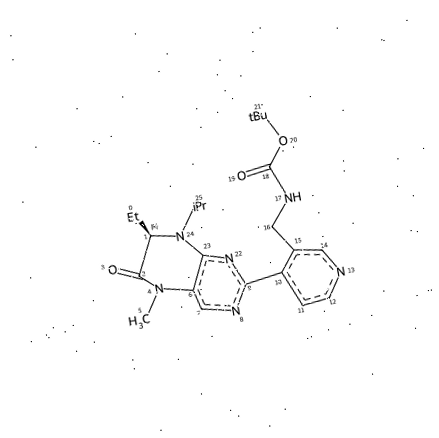 CC[C@@H]1C(=O)N(C)c2cnc(-c3ccncc3CNC(=O)OC(C)(C)C)nc2N1C(C)C